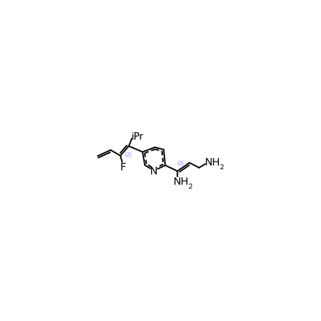 C=C/C(F)=C(/c1ccc(/C(N)=C/CN)nc1)C(C)C